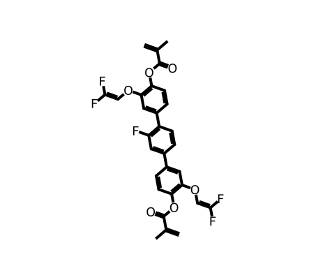 C=C(C)C(=O)Oc1ccc(-c2ccc(-c3ccc(OC(=O)C(=C)C)c(OC=C(F)F)c3)c(F)c2)cc1OC=C(F)F